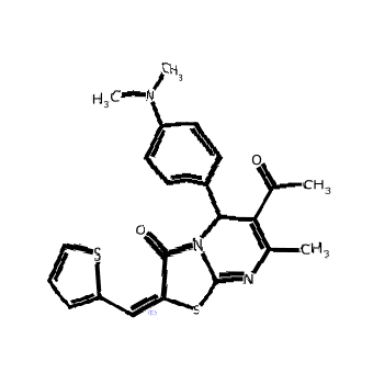 CC(=O)C1=C(C)N=c2s/c(=C/c3cccs3)c(=O)n2C1c1ccc(N(C)C)cc1